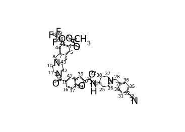 CS(=O)(=O)c1ccc(CN2CCN(C(=O)c3ccc4oc(C(=O)NC5CCN(Cc6ccc(C#N)cc6)CC5)cc4c3)CC2)cc1OC(F)(F)F